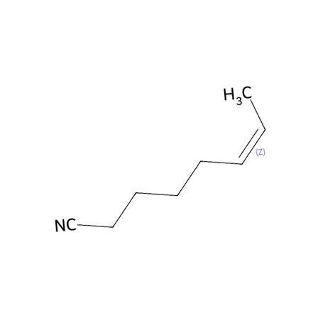 C/C=C\CCCCC#N